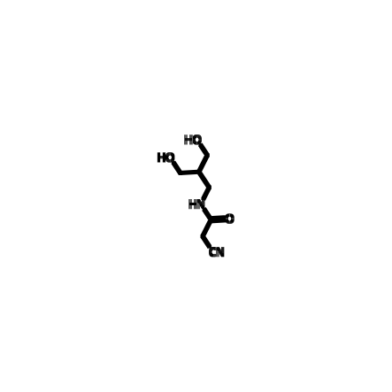 N#CCC(=O)NCC(CO)CO